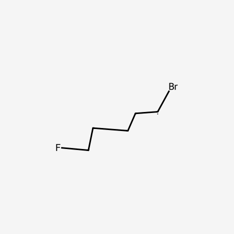 FCCCC[CH]Br